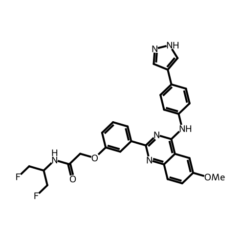 COc1ccc2nc(-c3cccc(OCC(=O)NC(CF)CF)c3)nc(Nc3ccc(-c4cn[nH]c4)cc3)c2c1